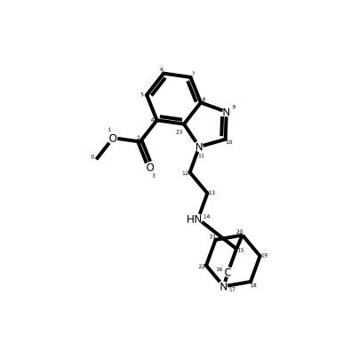 COC(=O)c1cccc2ncn(CCNC3CN4CCC3CC4)c12